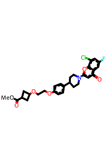 COC(=O)C1CC(OCCOc2ccc(C3CCN(c4cc(=O)c5cc(F)cc(Cl)c5o4)CC3)cc2)C1